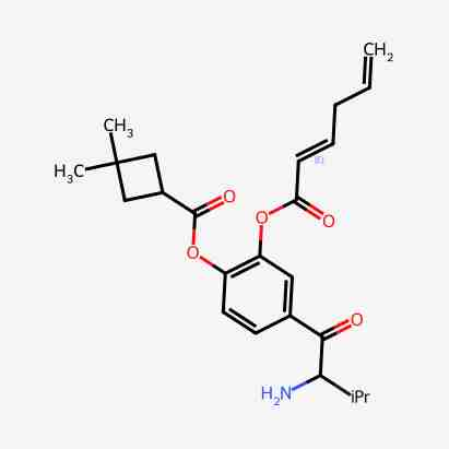 C=CC/C=C/C(=O)Oc1cc(C(=O)C(N)C(C)C)ccc1OC(=O)C1CC(C)(C)C1